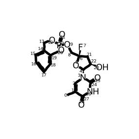 Cc1cn([C@@H]2O[C@](F)(COP3(=O)OCc4ccccc4O3)C[C@H]2O)c(=O)[nH]c1=O